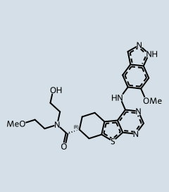 COCCN(CCO)C(=O)[C@@H]1CCc2c(sc3ncnc(Nc4cc5cn[nH]c5cc4OC)c23)C1